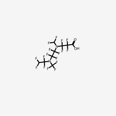 O=C(O)C(F)(F)C(F)(F)N(C(F)F)C(F)(F)C(F)(F)N(C(F)(F)F)C(F)(F)C(F)F